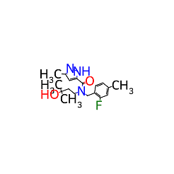 Cc1ccc(CN(CCC(C)(C)O)C(=O)c2cc(C)n[nH]2)c(F)c1